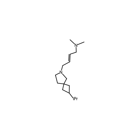 CC(C)C1CC2(CCN(C/C=C/CN(C)C)C2)C1